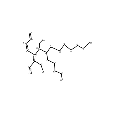 C=C/N=C\C(=C(/C=C)CC)N(CC)C(CCCCC)CCCCCCC